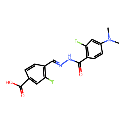 CN(C)c1ccc(C(=O)NN=Cc2ccc(C(=O)O)cc2F)c(F)c1